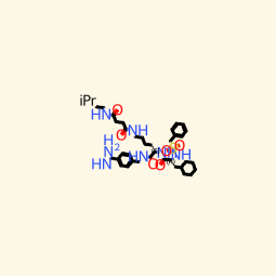 CC(C)CCNC(=O)CCC(=O)NCCCC[C@H](NC(=O)[C@@H](CC1CCCCC1)NS(=O)(=O)Cc1ccccc1)C(=O)NCc1ccc(C(=N)N)cc1